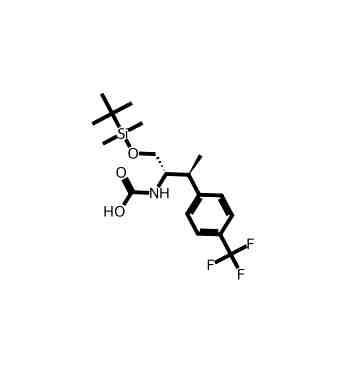 C[C@@H](c1ccc(C(F)(F)F)cc1)[C@@H](CO[Si](C)(C)C(C)(C)C)NC(=O)O